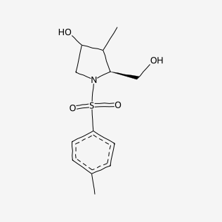 Cc1ccc(S(=O)(=O)N2CC(O)C(C)[C@H]2CO)cc1